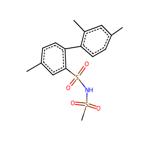 Cc1ccc(-c2ccc(C)cc2S(=O)(=O)NS(C)(=O)=O)c(C)c1